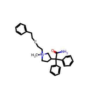 C[N@+]1(CCCCCc2ccccc2)CCC(C(C(N)=O)(c2ccccc2)c2ccccc2)C1